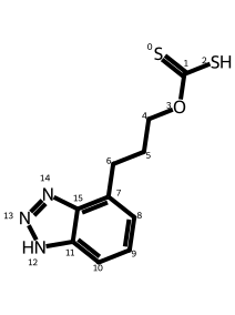 S=C(S)OCCCc1cccc2[nH]nnc12